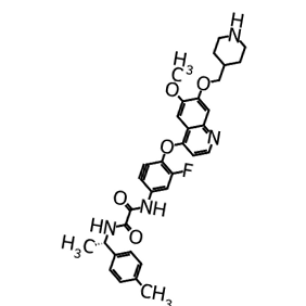 COc1cc2c(Oc3c#cc(NC(=O)C(=O)N[C@@H](C)c4ccc(C)cc4)cc3F)ccnc2cc1OCC1CCNCC1